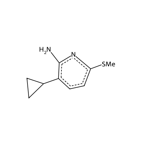 CSc1ccc(C2CC2)c(N)n1